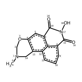 CN1COc2cc3c4c(cccc4c2C1)C(=O)N(O)C3=O